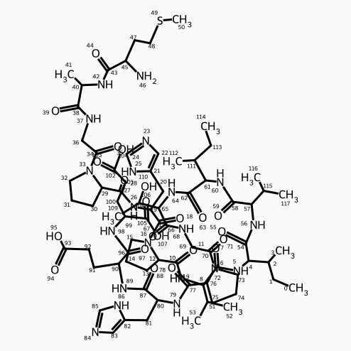 CCC(C)C(NC(=O)C(NC(=O)C1CCCN1C(=O)C(Cc1cnc[nH]1)NC(=O)C1CCCN1C(=O)CNC(=O)C(C)NC(=O)C(N)CCSC)C(C)C)C(=O)NC(C(=O)NC(C(=O)NC(C(=O)NCC(=O)N1CCCC1C(=O)NC(Cc1cnc[nH]1)C(=O)NC(CCC(=O)O)C(=O)NC(CCC(=O)O)C(=O)O)C(C)O)C(C)CC)C(C)C